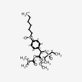 CCCCCC[S@+]([O-])c1ccc(C(SP(=O)(CC)CC)C(=NOC)OC(=O)N(C)C)cc1